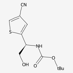 CC(C)(C)OC(=O)N[C@@H](CO)c1cc(C#N)cs1